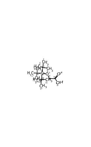 CC(C)(C)[Si](OCC(=O)O)(C(C)(C)C)C(C)(C)C